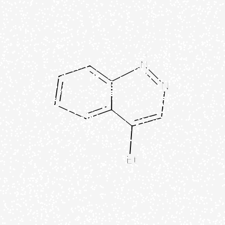 C[CH]c1cnnc2ccccc12